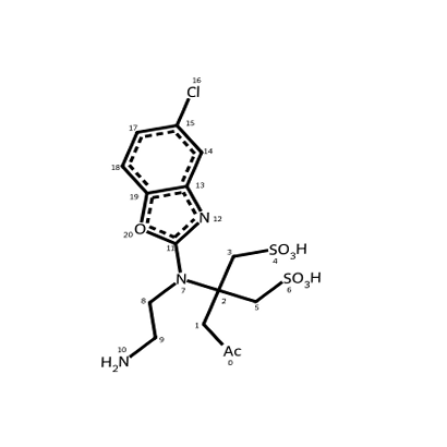 CC(=O)CC(CS(=O)(=O)O)(CS(=O)(=O)O)N(CCN)c1nc2cc(Cl)ccc2o1